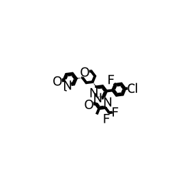 Cc1c(C(F)F)nc2c(-c3ccc(Cl)cc3F)cc([C@H]3CCO[C@@H](c4ccc(=O)n(C)c4)C3)nn2c1=O